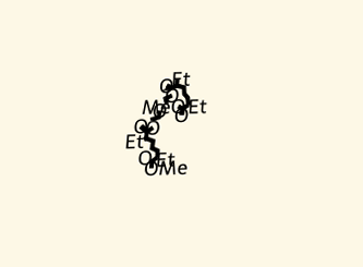 CCC(CCCC(CC)C(=O)OCCOCCOC(=O)C(CC)CCCC(CC)C(=O)OC)C(=O)OC